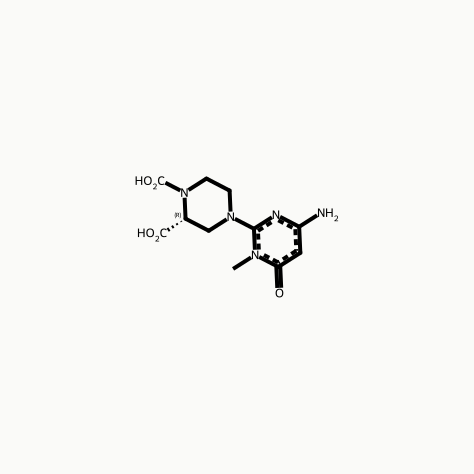 Cn1c(N2CCN(C(=O)O)[C@@H](C(=O)O)C2)nc(N)cc1=O